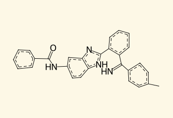 Cc1ccc(C(=N)c2ccccc2-c2nc3cc(NC(=O)c4ccccc4)ccc3[nH]2)cc1